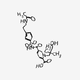 CC(=O)NCCc1ccc(S(=O)(=O)NC(=O)C2=CC=C(C(=O)O)N(CC(C)(C)CO)C2)cc1